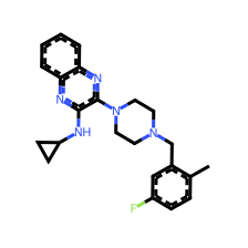 Cc1ccc(F)cc1CN1CCN(c2nc3ccccc3nc2NC2CC2)CC1